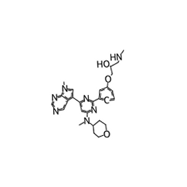 CNCC(O)COc1cccc(-c2nc(-c3cn(C)c4ncncc34)cc(N(C)C3CCOCC3)n2)c1